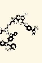 Cc1ncsc1-c1ccc(CNC(=O)[C@@H]2C[C@@H](O)CN2C(=O)C(NC(=O)CCOCCNC(=O)CCc2cccc(-c3ccc4nc(-c5cccnc5N)n(-c5ccc(C6(N)CCC6)cc5)c4n3)c2)C(C)(C)C)cc1